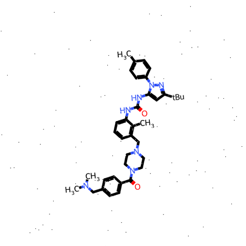 Cc1ccc(-n2nc(C(C)(C)C)cc2NC(=O)Nc2cccc(CN3CCN(C(=O)c4ccc(CN(C)C)cc4)CC3)c2C)cc1